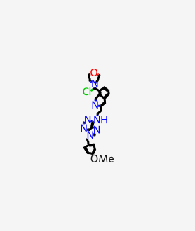 COc1ccc(Cn2cnc3c(NCCc4cc5cccc(C(Cl)N6CCOCC6)c5cn4)ncnc32)cc1